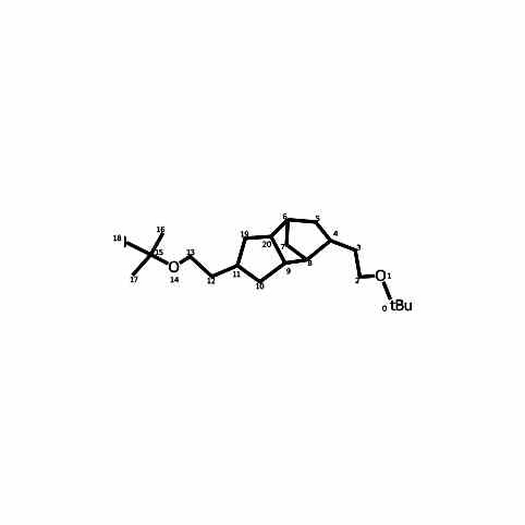 CC(C)(C)OCCC1CC2CC1C1CC(CCOC(C)(C)I)CC21